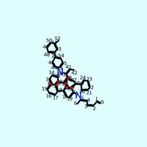 C=C/C=C\C=C(/C)N(c1ccc(-c2ccccc2)cc1)c1ccccc1-c1ccc(-c2ccccc2N(C(/C=C\C)=C/C)c2ccc(-c3cccc(C)c3)cc2)cc1